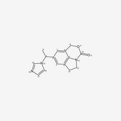 CC(c1cc2c3c(c1)COC(=O)N3CC2)n1ccnc1